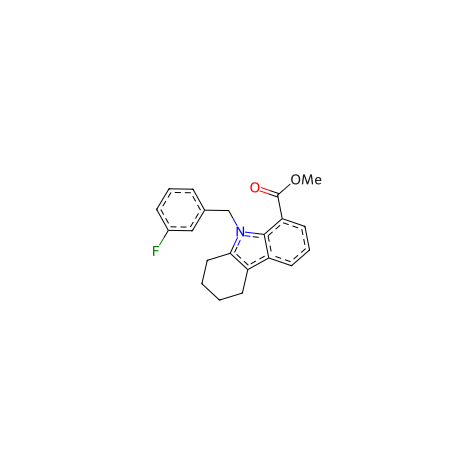 COC(=O)c1cccc2c3c(n(Cc4cccc(F)c4)c12)CCCC3